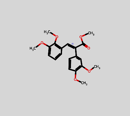 COC(=O)/C(=C/c1cccc(OC)c1OC)c1ccc(OC)c(OC)c1